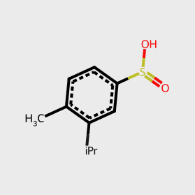 Cc1ccc(S(=O)O)cc1C(C)C